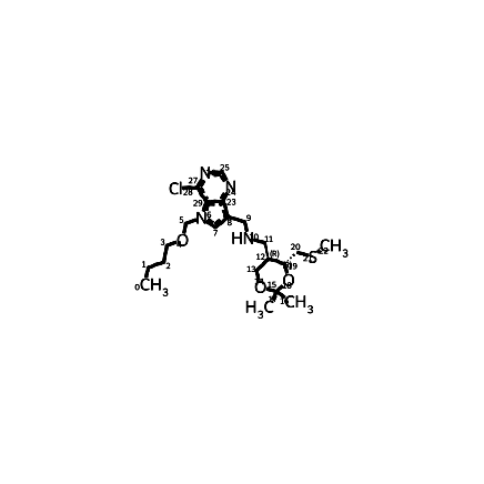 CCCCOCn1cc(CNC[C@@H]2COC(C)(C)O[C@H]2CSC)c2ncnc(Cl)c21